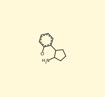 NC1CCCC1c1ccccc1Cl